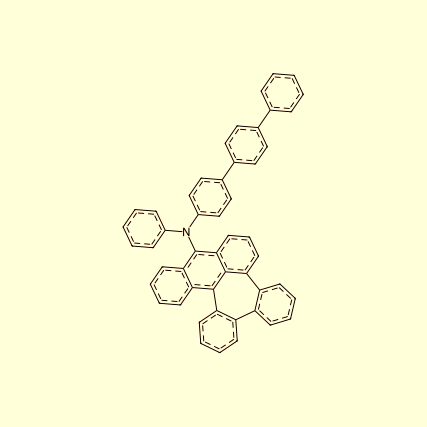 c1ccc(-c2ccc(-c3ccc(N(c4ccccc4)c4c5ccccc5c5c6c(cccc46)-c4ccccc4-c4ccccc4-5)cc3)cc2)cc1